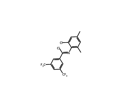 Cc1cc(C)c(/N=C(\Cl)c2cc(C(F)(F)F)cc(C(F)(F)F)c2)c(Cl)c1